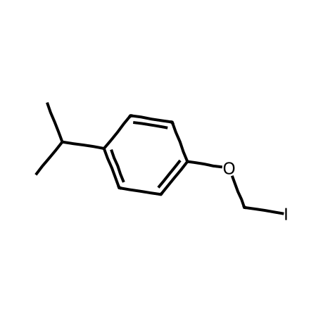 CC(C)c1ccc(OCI)cc1